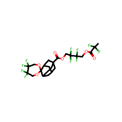 CC(F)(F)C(=O)OCC(F)(F)C(F)(F)COC(=O)C12CC3CC(C1)C1(OCC(F)(F)C(F)(F)CO1)C(C3)C2